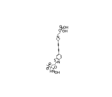 CC(CCc1nc2ccc(C#CC#CC3CN(CCOP(=O)(O)O)C3)cc2s1)(C(=O)NO)S(C)(=O)=O